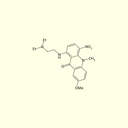 CCN(CC)CCNc1ccc([N+](=O)[O-])c2c1c(=O)c1cc(OC)ccc1n2C